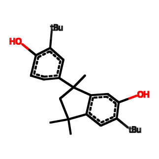 CC(C)(C)c1cc(C2(C)CC(C)(C)c3cc(C(C)(C)C)c(O)cc32)ccc1O